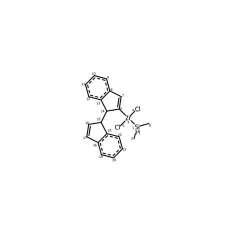 C[SiH](C)[Zr]([Cl])([Cl])[C]1=Cc2ccccc2C1C1C=Cc2ccccc21